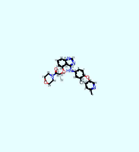 Cc1ccc(Oc2ccc(Nc3ncnc4cccc(O[C@H](C)C(=O)N5CCOCC5)c34)cc2C#N)cn1